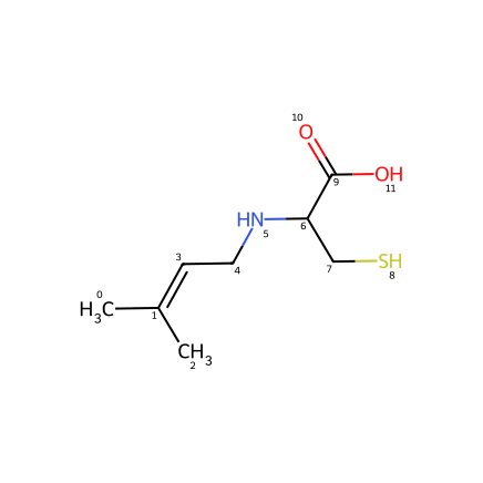 CC(C)=CCNC(CS)C(=O)O